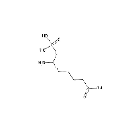 NC(CCCCC(=O)O)OP(=O)(O)O